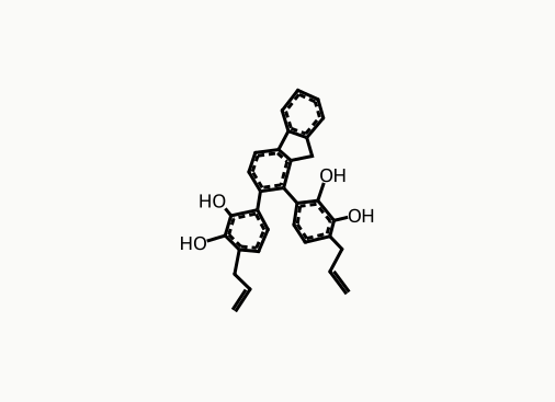 C=CCc1ccc(-c2ccc3c(c2-c2ccc(CC=C)c(O)c2O)Cc2ccccc2-3)c(O)c1O